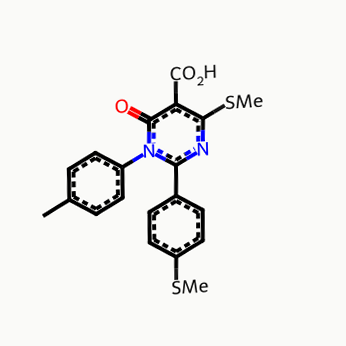 CSc1ccc(-c2nc(SC)c(C(=O)O)c(=O)n2-c2ccc(C)cc2)cc1